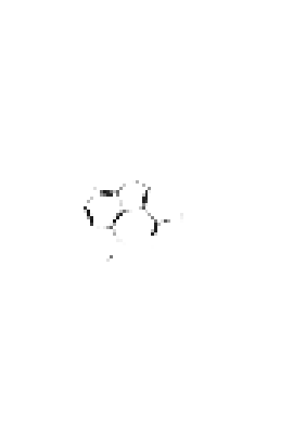 COc1ccnc2[nH]cc(C(N)=O)c12